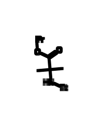 CCNC(C)(C)C(=O)OC(C)C